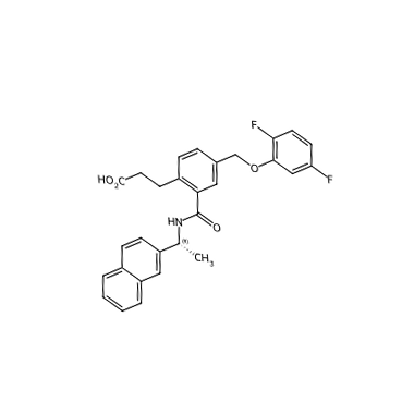 C[C@@H](NC(=O)c1cc(COc2cc(F)ccc2F)ccc1CCC(=O)O)c1ccc2ccccc2c1